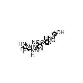 Cn1c(Nc2cc3n(n2)CNCC3(F)F)nc2ncc(Oc3ccnc(NC(=O)N4CC[C@@H](O)C4)c3)c(C#N)c21